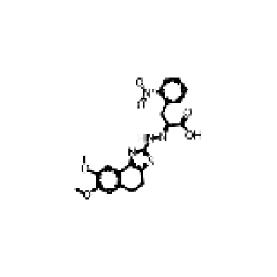 COc1cc2c(cc1OC)-c1nc(N/N=C(\Cc3ccccc3[N+](=O)[O-])C(=O)O)sc1CC2